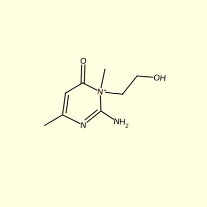 CC1=CC(=O)[N+](C)(CCO)C(N)=N1